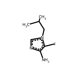 CC(C)Cn1cnc(N)c1I